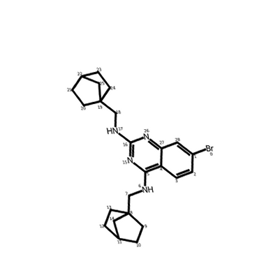 Brc1ccc2c(NCC34CCC(CC3)C4)nc(NCC34CCC(CC3)C4)nc2c1